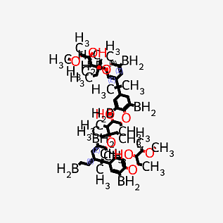 BC/C=C(\C=C(\B)C(C)OC(CC)(CC)C(C)C(O)C(C)OC1=C(B)CC(C(C)(C)C(/C=C(/B)[C@@H](C)OC(CC)(CC)C(C)C(O)C(C)OC)=C/CB)C=C1B)C(C)(C)C1C=C(B)C(OC(C)C(O)C(C)OC)=CC1